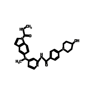 CNC(=O)n1ccc2cc(N(C)c3ccnc(NC(=O)c4ccc(N5CCC(O)CC5)cc4)c3)ccc21